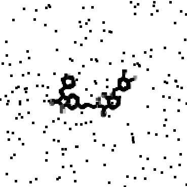 O=C1Nc2cc(/C=C/CNC(=O)c3cccn(Cc4ccc(F)c(F)c4)c3=O)ccc2/C1=C\c1cccnc1